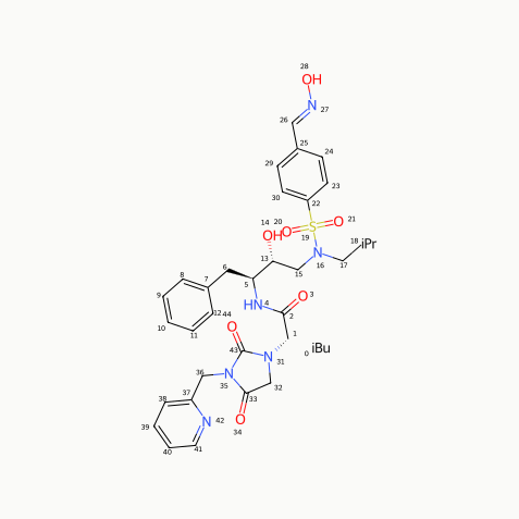 CC[C@H](C)[C@@H](C(=O)N[C@@H](Cc1ccccc1)[C@H](O)CN(CC(C)C)S(=O)(=O)c1ccc(/C=N/O)cc1)N1CC(=O)N(Cc2ccccn2)C1=O